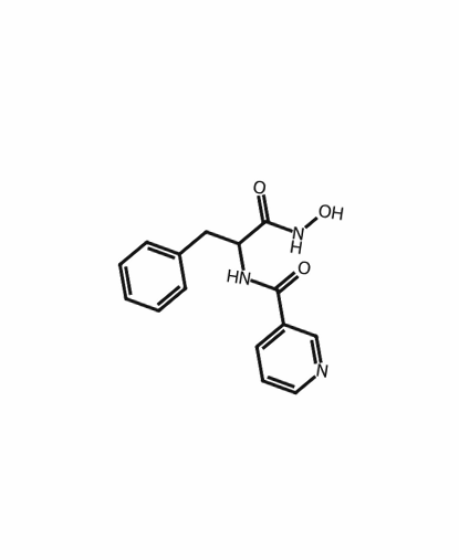 O=C(NC(Cc1ccccc1)C(=O)NO)c1cccnc1